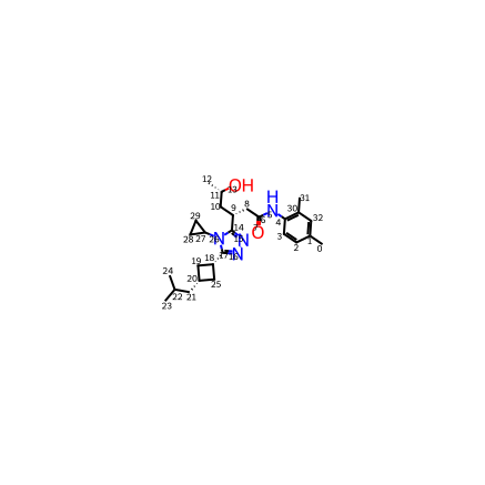 Cc1ccc(NC(=O)C[C@@H](C[C@H](C)O)c2nnc([C@H]3C[C@@H](CC(C)C)C3)n2C2CC2)c(C)c1